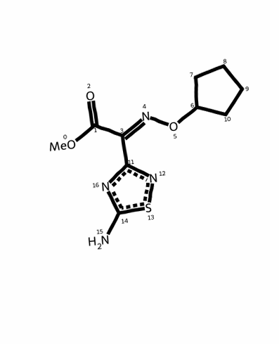 COC(=O)C(=NOC1CCCC1)c1nsc(N)n1